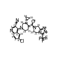 N#Cc1cnc2ccc(Cl)cc2c1N1CC[C@@H](C(=O)N2CCn3c(nnc3C(F)(F)F)C2)[C@@H](C2CC2)C1